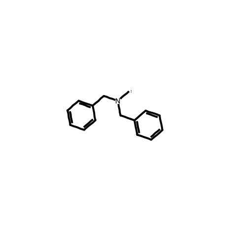 [CH]N(Cc1ccccc1)Cc1ccccc1